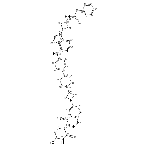 O=C1CC[C@H](n2nnc3ccc(N4CC(N5CCN(c6ccc(Nc7ncnc8c7ncn8C7CC(NC(=O)Cc8ccccc8)C7)cc6)CC5)C4)cc3c2=O)C(=O)N1